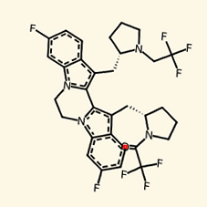 O=C(N1CCC[C@H]1Cc1c2n(c3cc(F)ccc13)CCn1c-2c(C[C@@H]2CCCN2CC(F)(F)F)c2ccc(F)cc21)C(F)(F)F